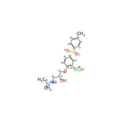 Cc1ccc(S(=O)(=O)c2ccc(OCC(O)CNC(C)C)c(Cl)c2)cc1.Cl